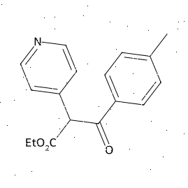 CCOC(=O)C(C(=O)c1ccc(C)cc1)c1ccncc1